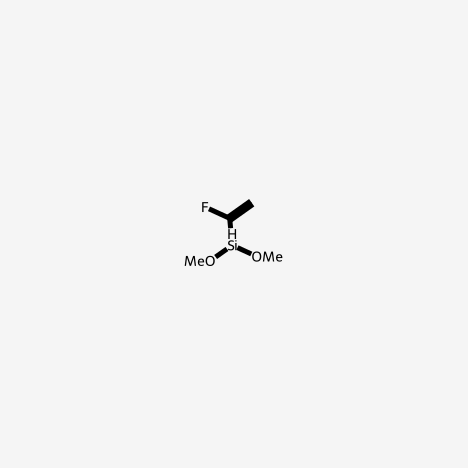 C=C(F)[SiH](OC)OC